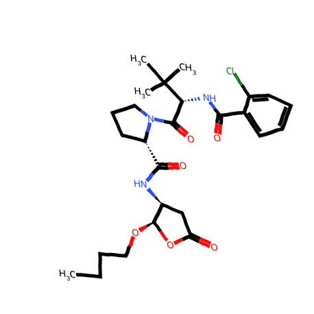 CCCCO[C@@H]1OC(=O)C[C@@H]1NC(=O)[C@@H]1CCCN1C(=O)[C@@H](NC(=O)c1ccccc1Cl)C(C)(C)C